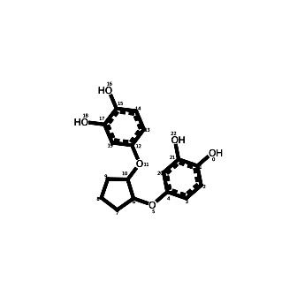 Oc1ccc(OC2CCCC2Oc2ccc(O)c(O)c2)cc1O